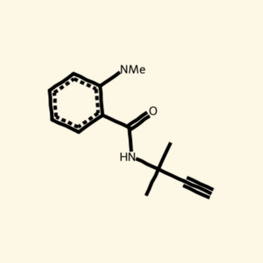 C#CC(C)(C)NC(=O)c1ccccc1NC